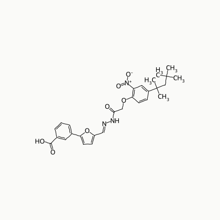 CC(C)(C)CC(C)(C)c1ccc(OCC(=O)N/N=C/c2ccc(-c3cccc(C(=O)O)c3)o2)c([N+](=O)[O-])c1